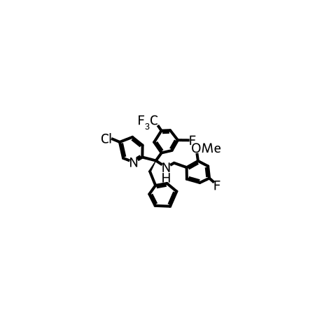 COc1cc(F)ccc1CN[C@@](Cc1ccccc1)(c1cc(F)cc(C(F)(F)F)c1)c1ccc(Cl)cn1